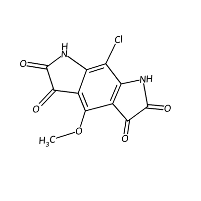 COc1c2c(=O)c(=O)[nH]c2c(Cl)c2[nH]c(=O)c(=O)c12